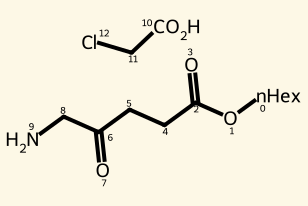 CCCCCCOC(=O)CCC(=O)CN.O=C(O)CCl